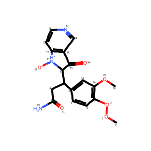 COOc1ccc(C(CC(N)=O)C2C(=O)c3cnccc3[NH+]2[O-])cc1OC